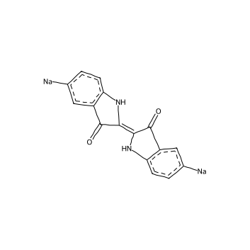 O=C1C(=C2Nc3cc[c]([Na])cc3C2=O)Nc2cc[c]([Na])cc21